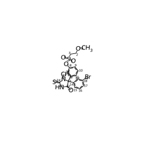 COCCS(=O)(=O)Oc1cccc(C2(c3cccc(Br)c3)C(=O)NC(=S)N2C)c1